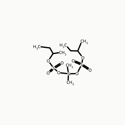 CCC(C)OS(=O)(=O)O[Si](C)(C)OS(=O)(=O)OC(C)CC